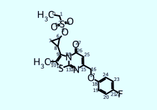 CCS(=O)(=O)OC1CC1c1c(C)sc2nc(COc3ccc(F)cc3)cc(=O)n12